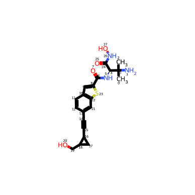 CC(C)(N)[C@H](NC(=O)c1cc2ccc(C#CC3CC3CO)cc2s1)C(=O)NO